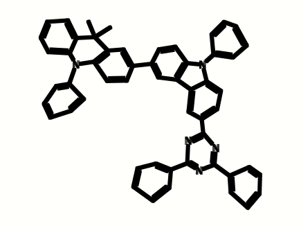 CC1(C)c2ccccc2N(c2ccccc2)c2ccc(-c3ccc4c(c3)c3cc(-c5nc(-c6ccccc6)nc(-c6ccccc6)n5)ccc3n4-c3ccccc3)cc21